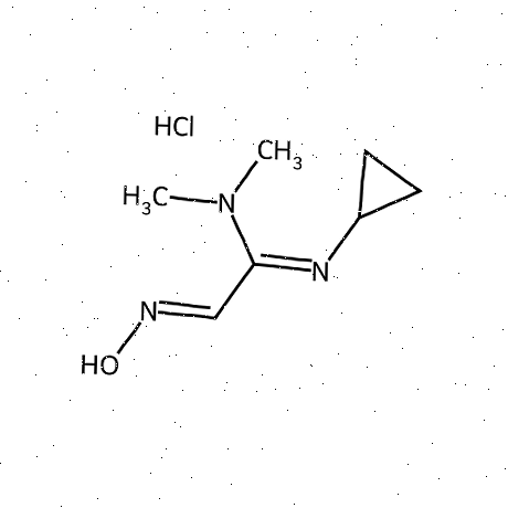 CN(C)C(C=NO)=NC1CC1.Cl